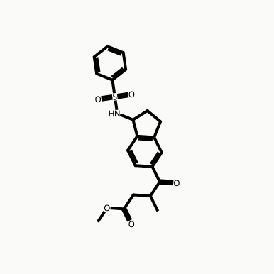 COC(=O)CC(C)C(=O)c1ccc2c(c1)CCC2NS(=O)(=O)c1ccccc1